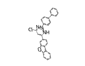 ClC1=NN(c2ccc(-c3ccccc3)cc2)NC(c2ccc3c(c2)oc2ccccc23)=C1